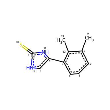 Cc1cccc(-c2c[nH]c(=S)[nH]2)c1C